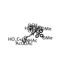 COc1ccc(C(OC[C@]2(CO[Si](C(C)C)(C(C)C)C(C)C)CN(CCCCCO[C@@H]3O[C@H]([CH]CC(=O)O)[C@@H](OC(C)=O)[C@H](OC(C)=O)[C@H]3NC(C)=O)C[C@H](n3cc(C)c(=O)[nH]c3=O)O2)(c2ccccc2)c2ccc(OC)cc2)cc1